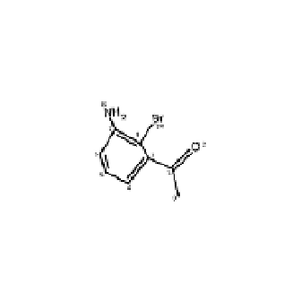 CC(=O)c1cccc(N)c1Br